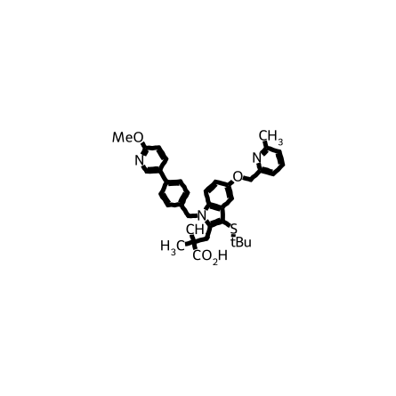 COc1ccc(-c2ccc(Cn3c(CC(C)(C)C(=O)O)c(SC(C)(C)C)c4cc(OCc5cccc(C)n5)ccc43)cc2)cn1